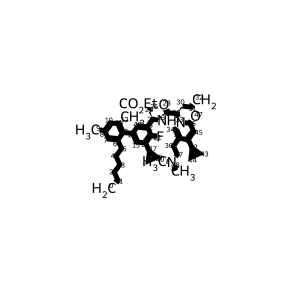 C=CCCCCc1cc(C)cc(C)c1-c1cc(C2CC2)c(F)c([C@H](CC(=O)OCC)NC(=O)[C@H](CC=C)n2cc(CCN(C)C)c(C3CC3)cc2=O)c1